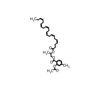 CC/C=C\C/C=C\C/C=C\C/C=C\C/C=C\C/C=C\CCC(=O)OC(C)COC(=O)c1ccc(C)cc1OC(C)=O